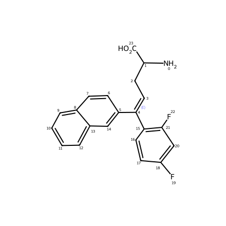 NC(C/C=C(\c1ccc2ccccc2c1)c1ccc(F)cc1F)C(=O)O